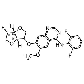 COc1cc2c(Nc3c(F)cccc3F)ncnc2cc1OC1CO[C@H]2[C@H](F)CO[C@@H]12